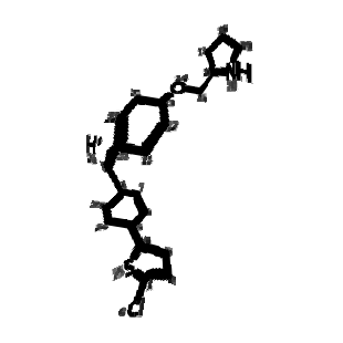 Clc1ccc(-c2ccc(Cc3ccc(OC[C@H]4CCCN4)cc3)cc2)s1.[H+]